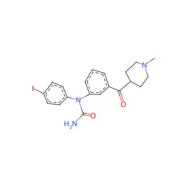 CN1CCC(C(=O)c2cccc(N(C(N)=O)c3ccc(I)cc3)c2)CC1